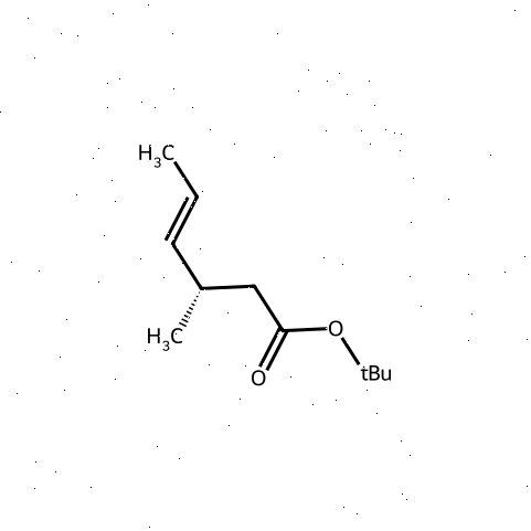 C/C=C/[C@@H](C)CC(=O)OC(C)(C)C